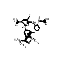 CN(C)c1nn(C)c2c(F)cc(Nc3nc(N[C@@H]4CCCC[C@@H]4NC(=O)O)c(F)cc3C(N)=O)cc12